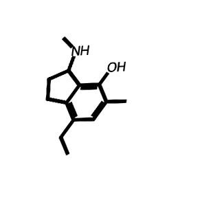 CCc1cc(C)c(O)c2c1CCC2NC